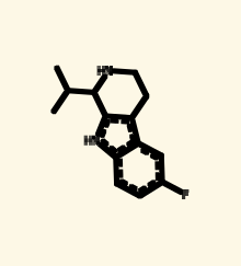 CC(C)C1NCCc2c1[nH]c1ccc(F)cc21